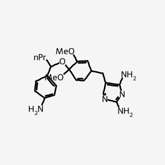 CCCC(OC1(OC)C=CC(Cc2cnc(N)nc2N)C=C1OC)c1ccc(N)cc1